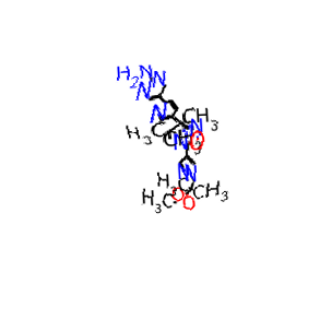 CCOC(=O)C(C)(C)Cn1cc(-c2nc(C(C)(c3ccc(-c4cnc(N)nc4)nc3)C(C)C)no2)cn1